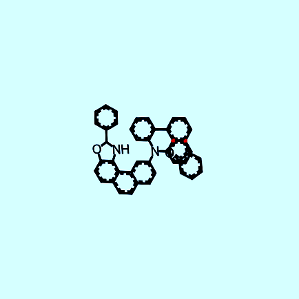 c1ccc(C2Nc3c(ccc4ccc5ccc(N(c6ccccc6)c6ccccc6-c6cccc7c6oc6ccccc67)cc5c34)O2)cc1